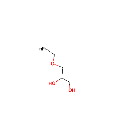 CC[CH]COCC(O)CO